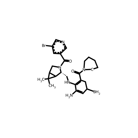 BC1C=C(N)C(NC[C@@H]2C3C(CN2C(=O)c2cncc(Br)c2)C3(C)C)=C(C(=O)N2CCCCC2)C1